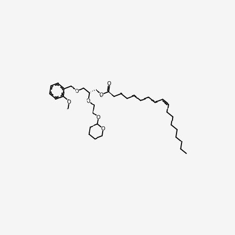 CCCCCCCC/C=C\CCCCCCCC(=O)OC[C@@H](COCc1ccccc1OC)OCCOC1CCCCO1